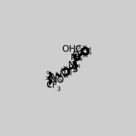 Cc1cc(C(F)(F)F)nn1CC(=O)N1CCC(c2nc(C3=NOC(c4ccccc4C=O)C3)cs2)CC1